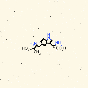 CC(C(=O)O)[C@H](N)Cc1ccc2[nH]cc(C[C@H](N)C(=O)O)c2c1